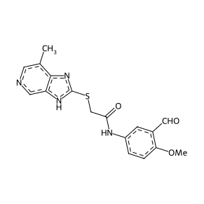 COc1ccc(NC(=O)CSc2nc3c(C)cncc3[nH]2)cc1C=O